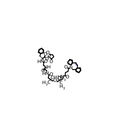 CC(C)(CNC(=O)CCC(=O)N1Cc2ccccc2/C=C\c2ccccc21)COCC(C)(C)CC(=O)NCC(=O)NCC(=O)N[C@@H](Cc1ccccc1)C(=O)ON1C(=O)CCC1=O